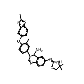 Cc1nc2cc(Oc3ccc(N4C=Nc5ccc(N=C6NC(C)(C)CO6)cc5C4N)cc3C)ccc2s1